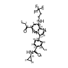 CCC(=O)c1cc(NCCC(F)(F)F)c2ncc(-c3ccc(C(=O)NC4CC4)c(C)c3)n2n1